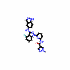 Cn1cc(C(=O)Nc2cccc(-n3nc(Nc4ccc5[nH]ncc5c4)c4c(F)cccc43)n2)cn1